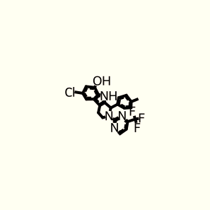 Cc1ccc(C2c3[nH]c4c(O)cc(Cl)cc4c3CCN2c2nccc(C(F)(F)F)n2)cc1